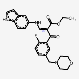 CCOC(=O)/C(=C\Nc1ccc2[nH]ccc2c1)C(=O)c1cc(CN2CCOCC2)ccc1F